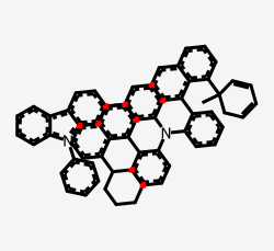 CC1(c2cccc3cccc(-c4ccccc4N(c4cccc(-c5ccc6c7ccccc7n(-c7ccccc7)c6c5)c4)c4ccccc4-c4cccc5cccc(C6CCCCC6)c45)c23)C=CC=CC1